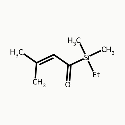 CC[Si](C)(C)C(=O)C=C(C)C